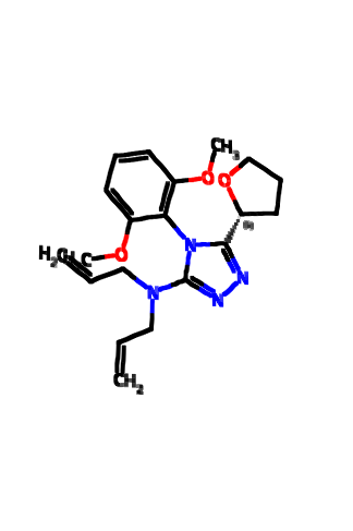 C=CCN(CC=C)c1nnc([C@H]2CCCO2)n1-c1c(OC)cccc1OC